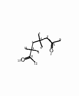 CC(=O)CC(C)(C)CC(C)(C)C(C)=O